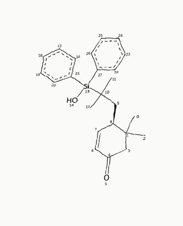 CC1(C)CC(=O)C=C[C@H]1CC(C)(C)[Si](O)(c1ccccc1)c1ccccc1